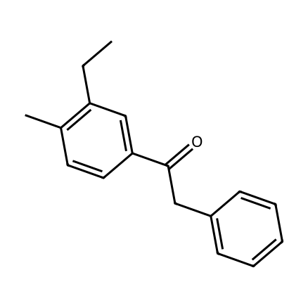 CCc1cc(C(=O)Cc2ccccc2)ccc1C